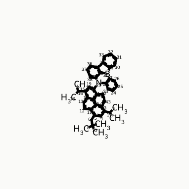 CC(C)c1cc(CC(C)(C)C)c2ccc3c(C(C)C)cc(N4c5ccccc5B5c6ccccc6-c6cccc4c65)c4ccc1c2c34